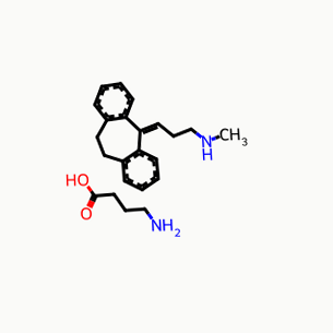 CNCCC=C1c2ccccc2CCc2ccccc21.NCCCC(=O)O